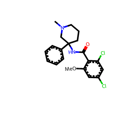 COc1cc(Cl)cc(Cl)c1C(=O)NC1(c2ccccc2)CCCN(C)C1